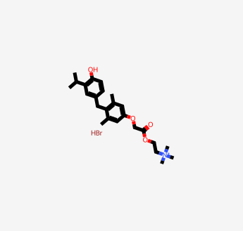 Br.Cc1cc(OCC(=O)OCC[N+](C)(C)C)cc(C)c1Cc1ccc(O)c(C(C)C)c1